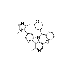 Cc1nnn(C)c1-c1cnc2c3c(F)ncc(Cl)c3n([C@H](c3ccccc3)C3CCOCC3)c2c1